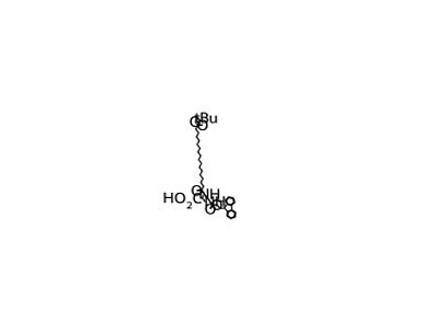 CC(C)(C)OC(=O)CCCCCCCCCCCCCCCCC(=O)N[C@@H](CNC(=O)OCC1c2ccccc2-c2ccccc21)C(=O)O